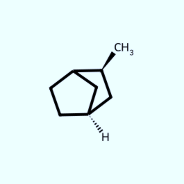 C[C@H]1C[C@H]2CCC1C2